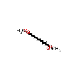 CCOC(=O)CCCCCCCCCCCCCCOCOC